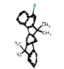 CC1(C)c2ccccc2-c2cc3c(cc21)-c1c(cc(Br)c2ccccc12)C3(C)C